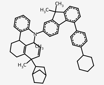 CC1(C)c2cc(N3c4ccccc4C4CCCC5=C4C3(C)C=CC5(C)C3CC4CCC3C4)ccc2-c2c(-c3ccc(C4CCCCC4)cc3)cccc21